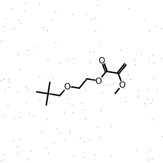 C=C(OC)C(=O)OCCOCC(C)(C)C